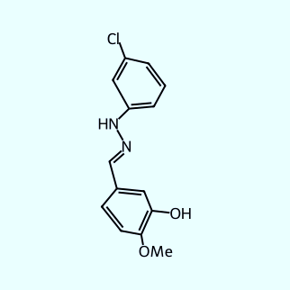 COc1ccc(C=NNc2cccc(Cl)c2)cc1O